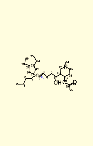 CCC[CH2][Sn](/[CH]=C/CCC(O)C1CN(C)CCC1OC(C)=O)([CH2]CCC)[CH2]CCC